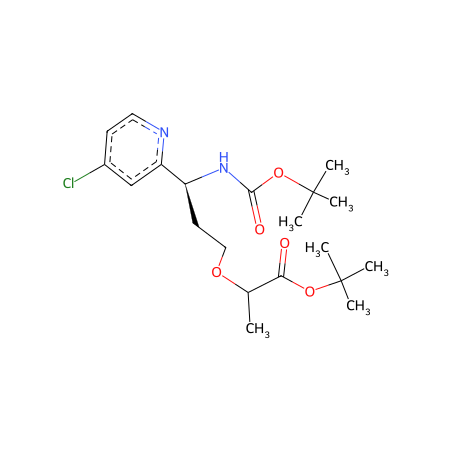 CC(OCC[C@H](NC(=O)OC(C)(C)C)c1cc(Cl)ccn1)C(=O)OC(C)(C)C